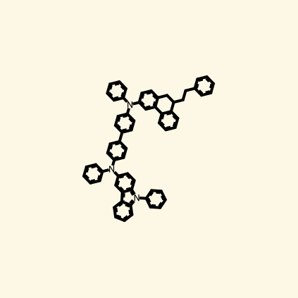 c1ccc(CCC2Cc3ccc(N(c4ccccc4)c4ccc(-c5ccc(N(c6ccccc6)c6ccc7c(c6)c6ccccc6n7-c6ccccc6)cc5)cc4)cc3-c3ccccc32)cc1